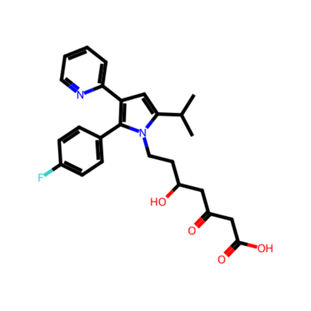 CC(C)c1cc(-c2ccccn2)c(-c2ccc(F)cc2)n1CCC(O)CC(=O)CC(=O)O